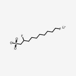 O=S(=O)([O-])CC(F)CCCCCCCCF.[Li+]